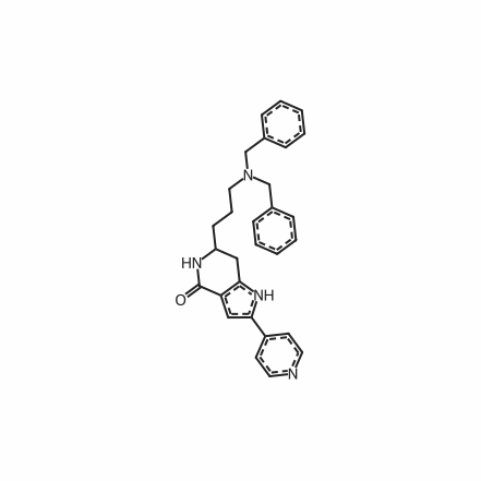 O=C1NC(CCCN(Cc2ccccc2)Cc2ccccc2)Cc2[nH]c(-c3ccncc3)cc21